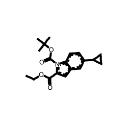 CCOC(=O)c1cc2cc(C3CC3)ccc2n1C(=O)OC(C)(C)C